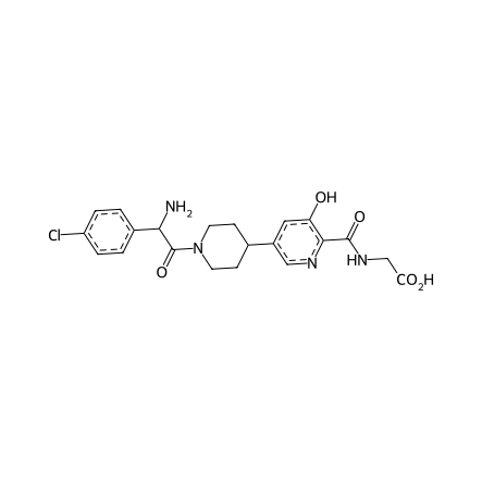 NC(C(=O)N1CCC(c2cnc(C(=O)NCC(=O)O)c(O)c2)CC1)c1ccc(Cl)cc1